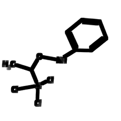 CC(ONc1ccccc1)[Si](Cl)(Cl)Cl